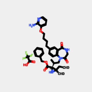 CC(CN1C(=O)CNC(=O)c2cc(CCCCOc3cccnc3N)ccc21)[C@@]1(C(=O)OCc2ccccc2)NC1(C=O)CC=O.O=C(O)C(F)(F)F